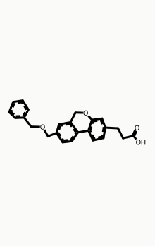 O=C(O)CCc1ccc2c(c1)OCc1cc(COCc3ccccc3)ccc1-2